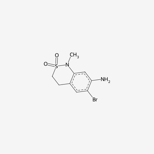 CN1c2cc(N)c(Br)cc2CCS1(=O)=O